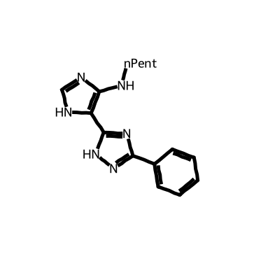 CCCCCNc1nc[nH]c1-c1nc(-c2ccccc2)n[nH]1